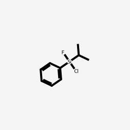 CC(C)[Si](F)(Cl)c1ccccc1